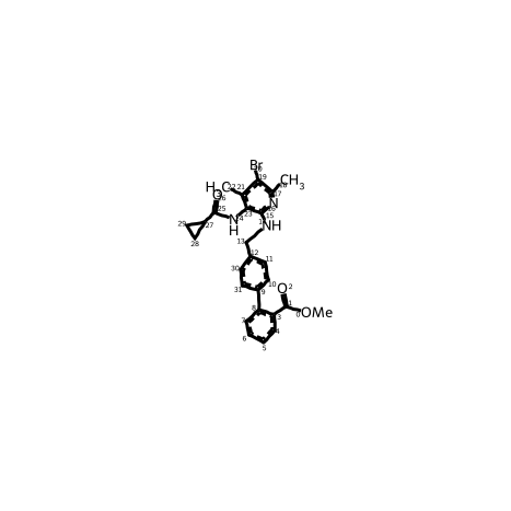 COC(=O)c1ccccc1-c1ccc(CNc2nc(C)c(Br)c(C)c2NC(=O)C2CC2)cc1